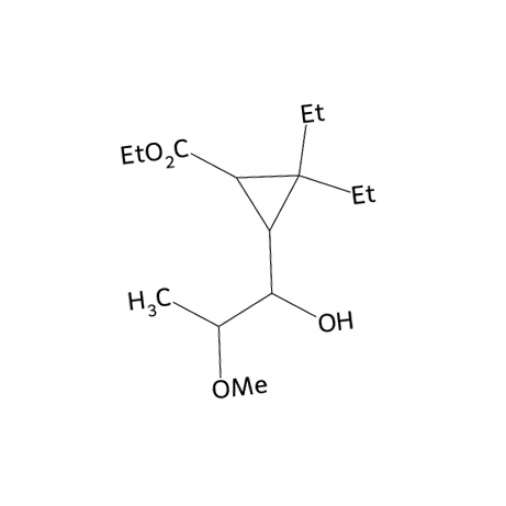 CCOC(=O)C1C(C(O)C(C)OC)C1(CC)CC